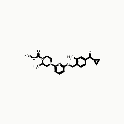 CCCCOC(=O)N1CCN(c2cccc(OCc3ccc(C(=O)C4CC4)cc3C)n2)CC1C